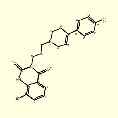 O=c1[nH]c2c(O)cccc2c(=O)n1CCCN1CC=C(c2ccc(Cl)cc2)CC1